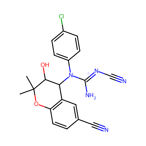 CC1(C)Oc2ccc(C#N)cc2C(N(/C(N)=N/C#N)c2ccc(Cl)cc2)C1O